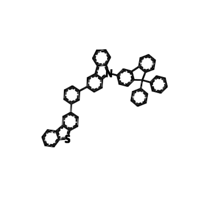 c1ccc(C2(c3ccccc3)c3ccccc3-c3cc(-n4c5ccccc5c5cc(-c6cccc(-c7ccc8sc9ccccc9c8c7)c6)ccc54)ccc32)cc1